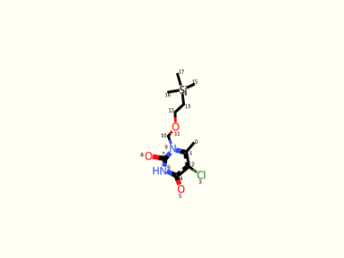 Cc1c(Cl)c(=O)[nH]c(=O)n1COCC[Si](C)(C)C